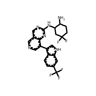 NC1CCC(F)(F)CC1Nc1ncc2cncc(-c3c[nH]c4cc(C(F)(F)F)ccc34)c2n1